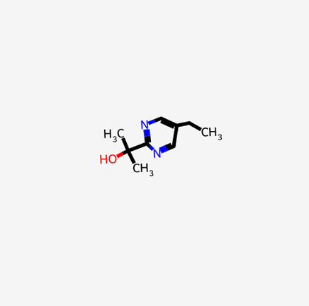 CCc1cnc(C(C)(C)O)nc1